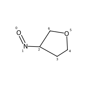 O=NC1CCOC1